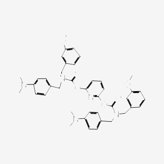 COc1cccc(CN(Cc2ccc(N(C)C)cc2)C(=O)Oc2cccc(OC(=O)N(Cc3ccc(N(C)C)cc3)Cc3cccc(OC)c3)n2)c1